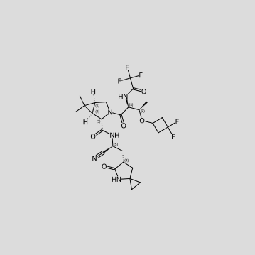 C[C@@H](OC1CC(F)(F)C1)[C@H](NC(=O)C(F)(F)F)C(=O)N1C[C@H]2[C@@H]([C@H]1C(=O)N[C@H](C#N)C[C@@H]1CC3(CC3)NC1=O)C2(C)C